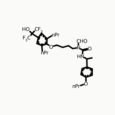 CCCOc1ccc(C(C)NC(=O)N(C=O)CCCCOc2c(CCC)cc(C(O)(C(F)(F)F)C(F)(F)F)cc2CCC)cc1